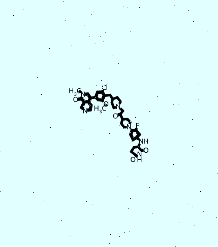 COc1cc(-c2cn(C)c(=O)c3cnccc23)cc(Cl)c1CC1CCN(CC(=O)C2CCN(c3ccc(NC4CCC(=O)NC4=O)cc3F)CC2)CC1